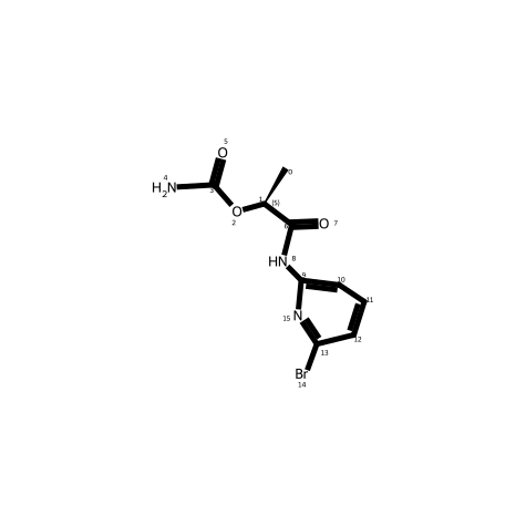 C[C@H](OC(N)=O)C(=O)Nc1cccc(Br)n1